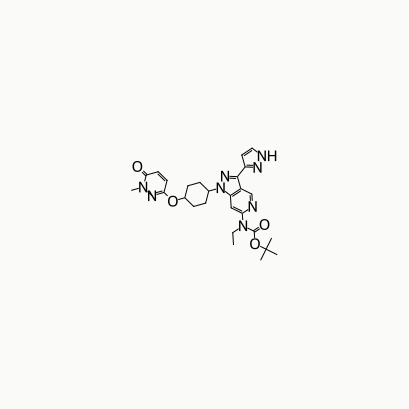 CCN(C(=O)OC(C)(C)C)c1cc2c(cn1)c(-c1cc[nH]n1)nn2C1CCC(Oc2ccc(=O)n(C)n2)CC1